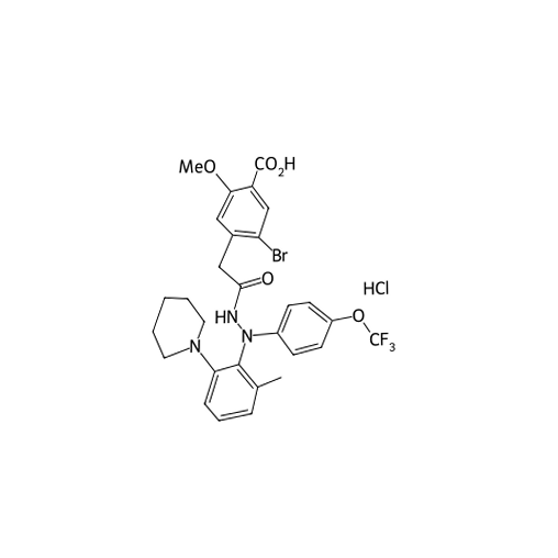 COc1cc(CC(=O)NN(c2ccc(OC(F)(F)F)cc2)c2c(C)cccc2N2CCCCC2)c(Br)cc1C(=O)O.Cl